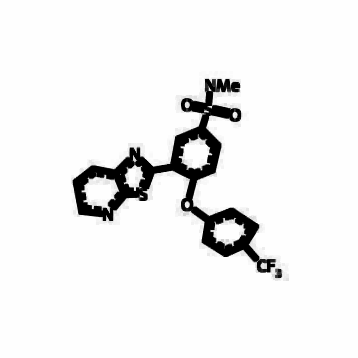 CNS(=O)(=O)c1ccc(Oc2ccc(C(F)(F)F)cc2)c(-c2nc3cccnc3s2)c1